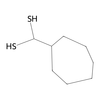 SC(S)C1CCCCCC1